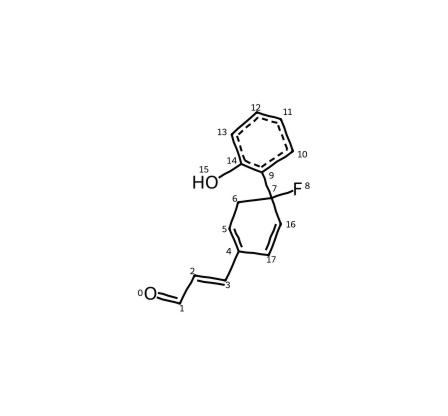 O=CC=CC1=CCC(F)(c2ccccc2O)C=C1